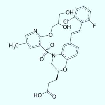 Cc1cnc(OCC(O)CO)c(S(=O)(=O)N2C[C@H](CCC(=O)O)Oc3ccc(/C=C/c4c(F)cccc4Cl)cc32)c1